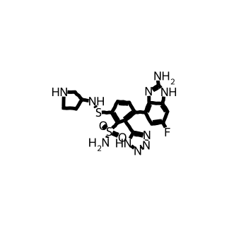 Nc1nc2c(-c3ccc(SNC4CCNC4)c(S(N)(=O)=O)c3-c3nnn[nH]3)cc(F)cc2[nH]1